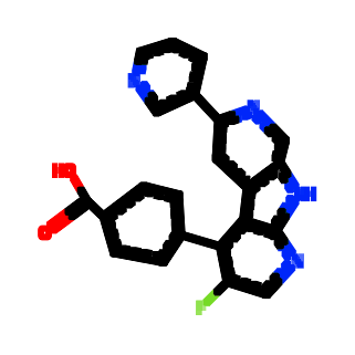 O=C(O)c1ccc(-c2c(F)cnc3[nH]c4cnc(-c5cccnc5)cc4c23)cc1